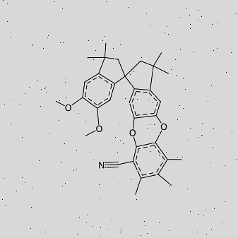 COc1cc2c(cc1OC)C1(CC2(C)C)CC(C)(C)c2cc3c(cc21)Oc1c(C#N)c(C)c(C)c(C)c1O3